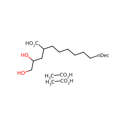 CC(=O)O.CC(=O)O.CCCCCCCCCCCCCCCCC(CC(O)CO)C(=O)O